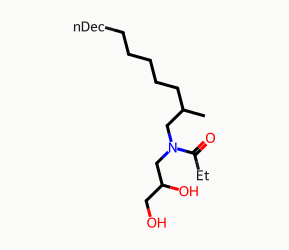 CCCCCCCCCCCCCCCC(C)CN(CC(O)CO)C(=O)CC